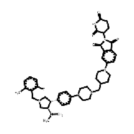 Cc1cccc(F)c1CN1C[C@H](c2ccc(N3CCN(CC4CCN(c5ccc6c(c5)C(=O)N(C5CCC(=O)NC5=O)C6=O)CC4)CC3)cc2)[C@@H](N(C)C)C1